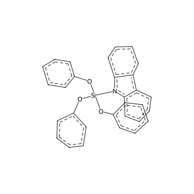 c1ccc(O[Si](Oc2ccccc2)(Oc2ccccc2)n2c3ccccc3c3ccccc32)cc1